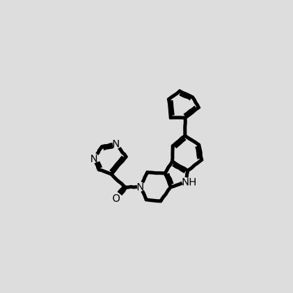 O=C(c1cncnc1)N1CCc2[nH]c3ccc(-c4ccccc4)cc3c2C1